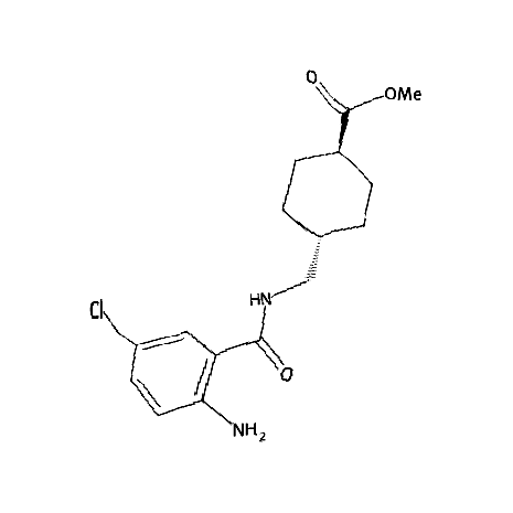 COC(=O)[C@H]1CC[C@H](CNC(=O)c2cc(Cl)ccc2N)CC1